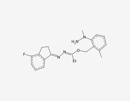 CC/C(=N\N=C1/CCc2c(F)cccc21)OCc1c(C)cccc1N(C)N